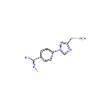 CCOC(=O)Cc1cn(-c2ccc(/C(N)=N\O)cc2)cn1